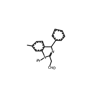 Cc1ccc2c(c1)N(C(C)C)C(CC=O)=NC2c1ccccc1